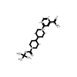 CC(C)(C)OC(=O)N1CCC(C2CCN(c3cc(C(N)=O)ncn3)CC2)CC1